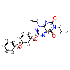 CCCn1c(=O)nc2n(CC)nc(Oc3cccc(Oc4ccccc4)c3)nc-2c1=O